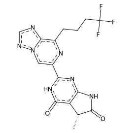 C[C@H]1C(=O)Nc2nc(-c3cn4ncnc4c(CCCC(F)(F)F)n3)[nH]c(=O)c21